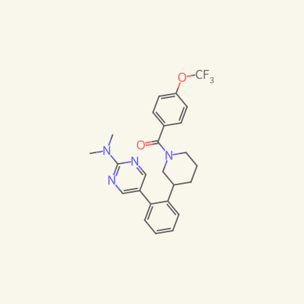 CN(C)c1ncc(-c2ccccc2C2CCCN(C(=O)c3ccc(OC(F)(F)F)cc3)C2)cn1